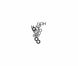 N[C@@H](CC(=O)O)C(=O)NC(=O)C(Cc1ccccc1)S(=O)(=O)c1ccc2ccccc2c1